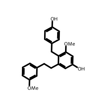 COc1cccc(CCc2cc(O)cc(OC)c2Cc2ccc(O)cc2)c1